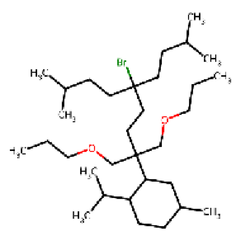 CCCOCC(CCC(Br)(CCC(C)C)CCC(C)C)(COCCC)C1CC(C)CCC1C(C)C